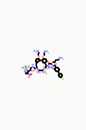 C[C@@H]1NC(=O)[C@@H](N(C)C(=O)[C@H](CCCCN)NC(=O)c2ccc(-c3ccc(Cl)cc3)cc2)c2ccc(OCCN)c(c2)-c2cc(ccc2OCCN)C[C@@H](C(=O)N[C@@H](C)C(=O)c2c([N+](=O)[O-])cnn2C)NC1=O